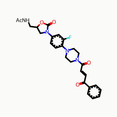 CC(=O)NCC1CN(c2ccc(N3CCN(C(=O)C=CC(=O)c4ccccc4)CC3)c(F)c2)C(=O)O1